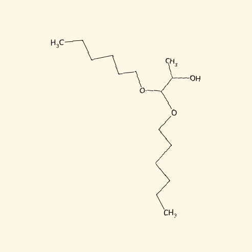 CCCCCCOC(OCCCCCC)C(C)O